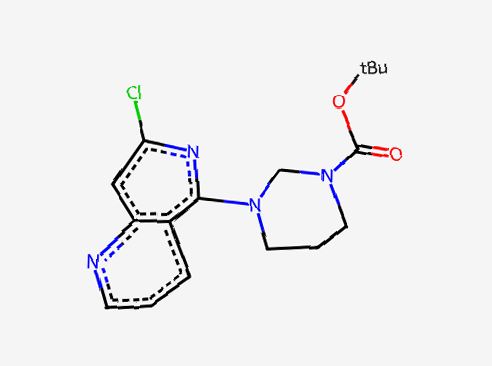 CC(C)(C)OC(=O)N1CCCN(c2nc(Cl)cc3ncccc23)C1